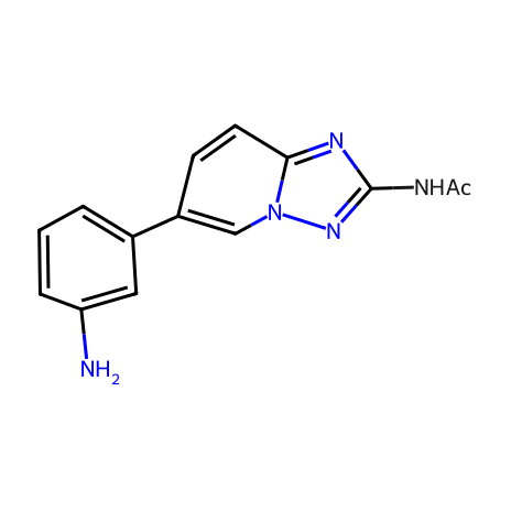 CC(=O)Nc1nc2ccc(-c3cccc(N)c3)cn2n1